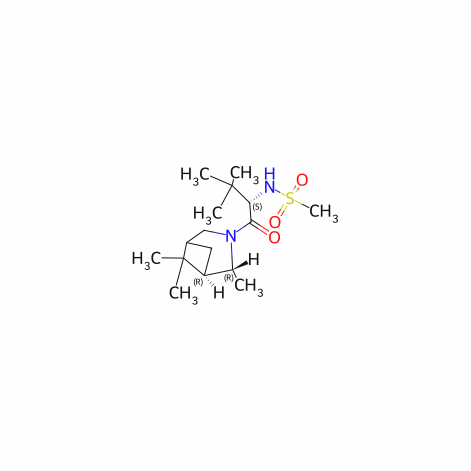 C[C@@H]1[C@@H]2CC(CN1C(=O)[C@@H](NS(C)(=O)=O)C(C)(C)C)C2(C)C